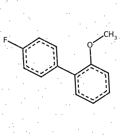 COc1ccc[c]c1-c1ccc(F)cc1